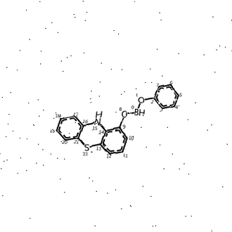 B(Oc1ccccc1)Oc1cccc2c1Nc1ccccc1S2